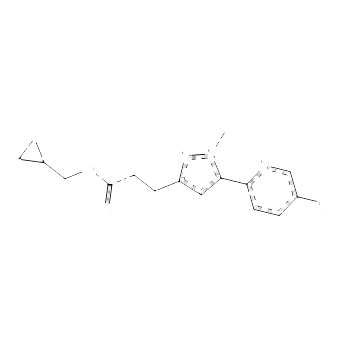 Cn1nc(CCC(=O)OCC2CC2)cc1-c1ccc(Cl)cn1